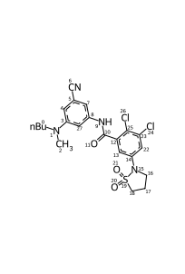 CCCCN(C)c1cc(C#N)cc(NC(=O)c2cc(N3CCCS3(=O)=O)cc(Cl)c2Cl)c1